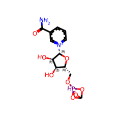 NC(=O)c1ccc[n+]([C@@H]2O[C@H](CO[PH]34OC(O3)O4)[C@@H](O)[C@H]2O)c1